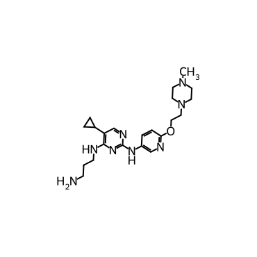 CN1CCN(CCOc2ccc(Nc3ncc(C4CC4)c(NCCCN)n3)cn2)CC1